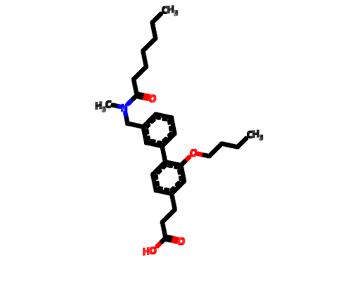 CCCCCCC(=O)N(C)Cc1cccc(-c2ccc(CCC(=O)O)cc2OCCCC)c1